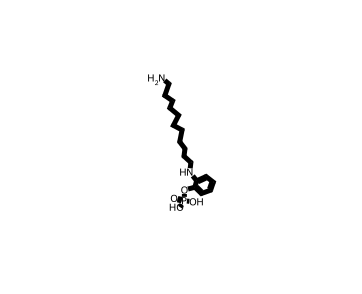 NCCCCCCCCCCCNc1ccccc1OP(=O)(O)O